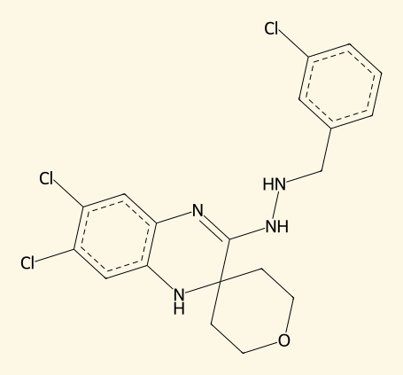 Clc1cccc(CNNC2=Nc3cc(Cl)c(Cl)cc3NC23CCOCC3)c1